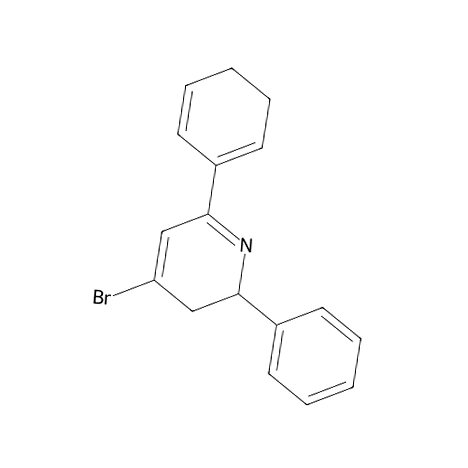 BrC1=CC(C2=CCCC=C2)=NC(c2ccccc2)C1